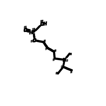 CC(C)N(C)CCCCO[PH](=O)O